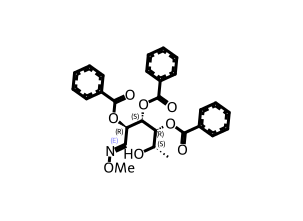 CO/N=C/[C@@H](OC(=O)c1ccccc1)[C@H](OC(=O)c1ccccc1)[C@H](OC(=O)c1ccccc1)[C@H](C)O